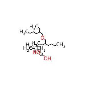 C=CC.C=CC.CCCCC(CC)COCC(CC)CCCC.OCCO